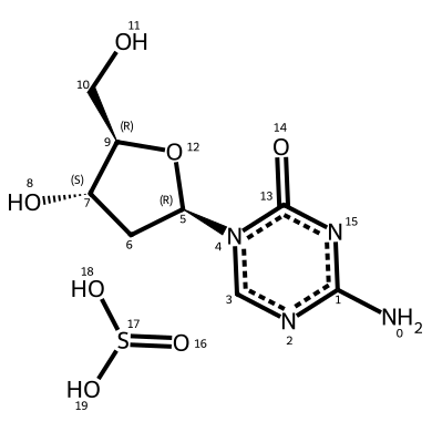 Nc1ncn([C@H]2C[C@H](O)[C@@H](CO)O2)c(=O)n1.O=S(O)O